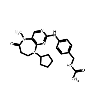 CC(=O)NCc1ccc(Nc2ncc3c(n2)N(C2CCCC2)CCC(=O)N3C)cc1